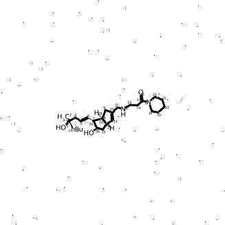 CCCC[C@](C)(O)C/C=C/[C@@H]1[C@H]2CC(CNCCC(=O)N3CCCCC3)=C[C@H]2C[C@H]1O